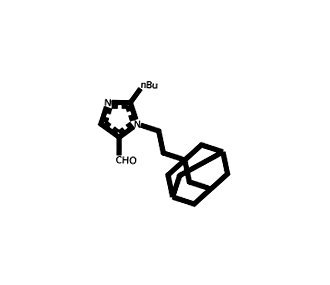 CCCCc1ncc(C=O)n1CCC12CC3CC(CC(C3)C1)C2